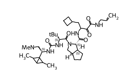 C=CCNC(=O)C(=O)C(CC1CCC1)NC(=O)[C@@H]1[C@H]2CCC[C@H]2CN1C(=O)[C@@H](NC(=O)N[C@H](CNC)C12C(C)C1C2C)C(C)(C)C